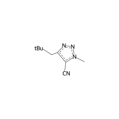 Cn1nnc(CC(C)(C)C)c1C#N